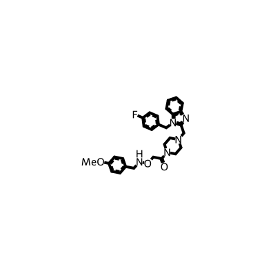 COc1ccc(CNOCC(=O)N2CCN(Cc3nc4ccccc4n3Cc3ccc(F)cc3)CC2)cc1